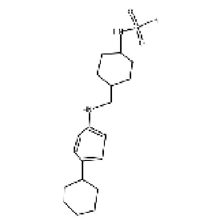 CC(C)S(=O)(=O)NC1CCC(CNc2ccc(C3CCCCC3)cc2)CC1